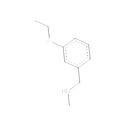 CCOc1cccc(CNC)c1